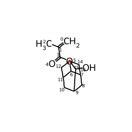 C=C(C)C(=O)OC1C2CC3CC1CC(C2)C3O